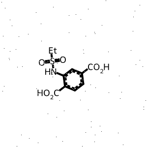 CCS(=O)(=O)Nc1cc(C(=O)O)ccc1C(=O)O